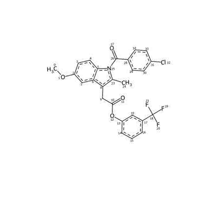 COc1ccc2c(c1)c(CC(=O)Oc1cccc(C(F)(F)F)c1)c(C)n2C(=O)c1ccc(Cl)cc1